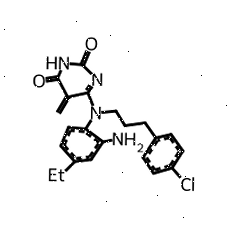 C=C1C(=O)NC(=O)N=C1N(CCCc1ccc(Cl)cc1)c1ccc(CC)cc1N